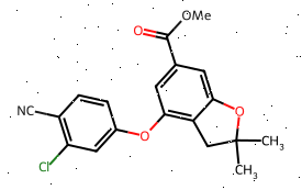 COC(=O)c1cc(Oc2ccc(C#N)c(Cl)c2)c2c(c1)OC(C)(C)C2